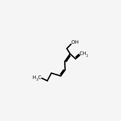 C=C/C(=C\C=C/CCC)CO